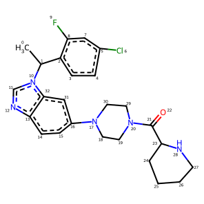 CC(c1ccc(Cl)cc1F)n1cnc2ccc(N3CCN(C(=O)C4CCCCN4)CC3)cc21